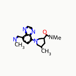 C/N=C\c1ccc(N2CC(C)CC(C(=O)NC)C2)c2nccnc12